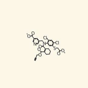 C#CCOC(=O)C1=C(C(=O)N(Cc2cncc(C(=O)OC)c2)c2cc(SCC(=O)OC)c(Cl)cc2Cl)CCCC1